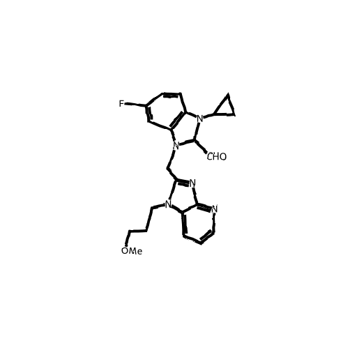 COCCCn1c(CN2c3cc(F)ccc3N(C3CC3)C2C=O)nc2ncccc21